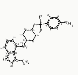 Cc1ccc(C(F)(F)CN2CCC(Nc3ncnc4[nH]nc(C)c34)CC2)nc1